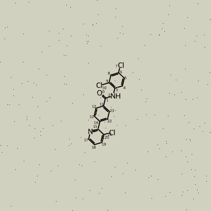 O=C(Nc1ccc(Cl)cc1Cl)c1ccc(-c2ncccc2Cl)cc1